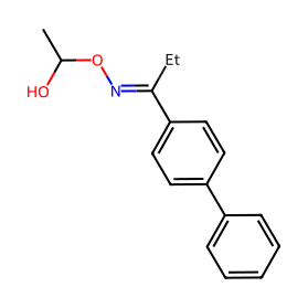 CCC(=NOC(C)O)c1ccc(-c2ccccc2)cc1